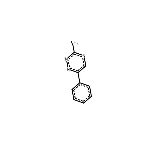 Cc1ncc(-c2ccccc2)nn1